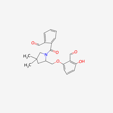 CC1(C)CC(COc2cccc(O)c2C=O)N(C(=O)c2ccccc2C=O)C1